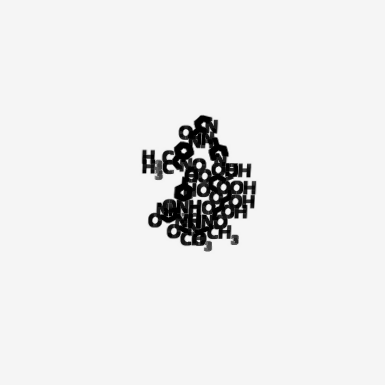 CC(NC(=O)C(C)NC(=O)[C@H](O)[C@H](O)[C@@H](O[C@@H]1O[C@H](CO)[C@H](O)[C@H](O)[C@H]1O)[C@H](O)CO)C(=O)NC(CC(N)=O)C(=O)Nc1ccc(COC(=O)N2CC(C)(C)c3ccc(NC(=O)c4cccnc4NCc4ccncc4)cc32)cc1